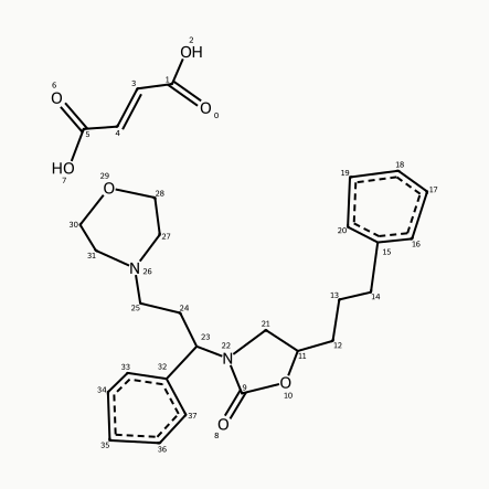 O=C(O)C=CC(=O)O.O=C1OC(CCCc2ccccc2)CN1C(CCN1CCOCC1)c1ccccc1